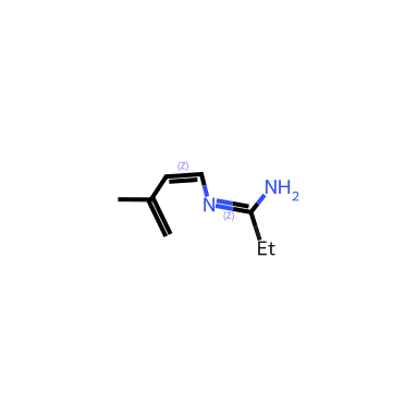 C=C(C)/C=C\N=C(/N)CC